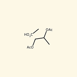 CC(=O)O.CC(=O)OCC(C)OC(C)=O